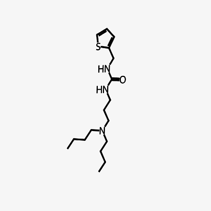 CCCCN(CCCC)CCCNC(=O)NCc1cccs1